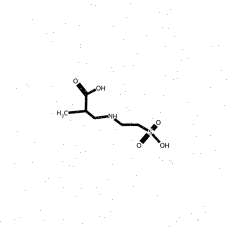 CC(CNCCS(=O)(=O)O)C(=O)O